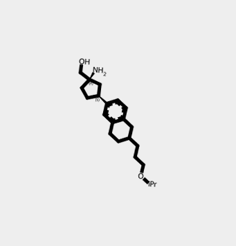 CC(C)OCCCC1CCc2cc([C@H]3CC[C@](N)(CO)C3)ccc2C1